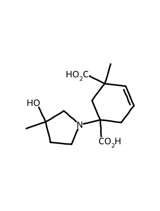 CC1(O)CCN(C2(C(=O)O)CC=CC(C)(C(=O)O)C2)C1